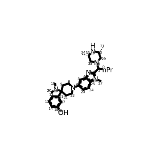 CCCC(c1nc2cc(N3CCC(c4cccc(O)c4)(N(C)C)CC3)ccc2n1C)N1C[C@@H](C)N[C@@H](C)C1